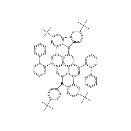 CC(C)(C)c1ccc2c(c1)-c1cc(C(C)(C)C)cc3c1B2c1cc2c(-c4ccccc4-c4ccccc4)cc4c5c(cc6c(-c7ccccc7-c7ccccc7)cc-3c1c6c25)B1c2ccc(C(C)(C)C)cc2-c2cc(C(C)(C)C)cc-4c21